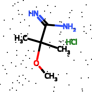 COC(C)(C)C(=N)N.Cl